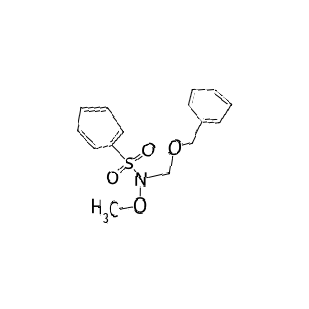 CON(COCc1ccccc1)S(=O)(=O)c1ccccc1